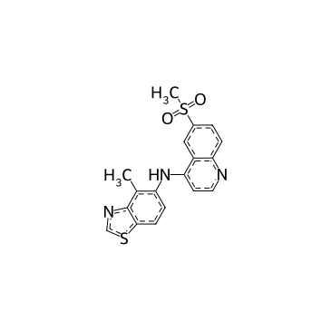 Cc1c(Nc2ccnc3ccc(S(C)(=O)=O)cc23)ccc2scnc12